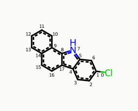 Clc1ccc2c(c1)[nH]c1c3ccccc3ccc21